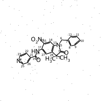 CC1(C)C(=O)N(Cc2ccccc2)c2cc([N+](=O)[O-])c(NC(=O)c3ccncc3)cc21